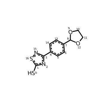 Sc1nc(-c2ccc(C3OCCO3)cc2)ns1